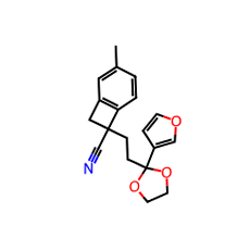 Cc1ccc2c(c1)CC2(C#N)CCC1(c2ccoc2)OCCO1